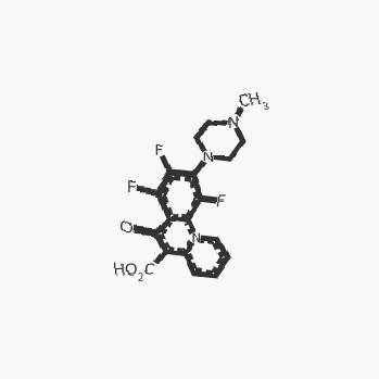 CN1CCN(c2c(F)c(F)c3c(=O)c(C(=O)O)c4ccccn4c3c2F)CC1